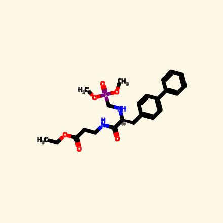 CCOC(=O)CCNC(=O)[C@H](Cc1ccc(-c2ccccc2)cc1)NCP(=O)(OC)OC